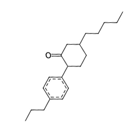 CCCCCC1CCC(c2ccc(CCC)cc2)C(=O)C1